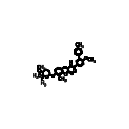 COc1ccc(C(=O)Nc2cc3ccc(OC4CCC(OC)C(C)(C)O4)c(C)c3oc2=O)cc1-c1ccc(C)cc1